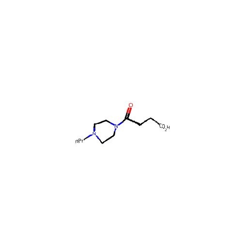 CCCN1CCN(C(=O)CCC(=O)O)CC1